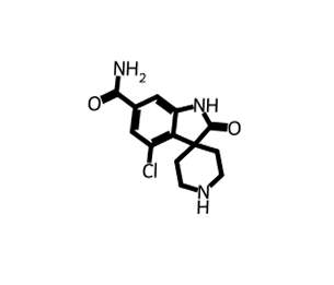 NC(=O)c1cc(Cl)c2c(c1)NC(=O)C21CCNCC1